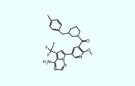 COc1ncc(-c2cc(C(F)(F)F)c3c(N)ncnn23)cc1C(=O)N1CCCC(Cc2ccc(C)cc2)C1